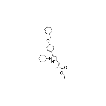 CCOC(=O)/C(C)=C/c1cc(-c2ccc(OCc3ccccc3)cc2)n(C2CCCCC2)n1